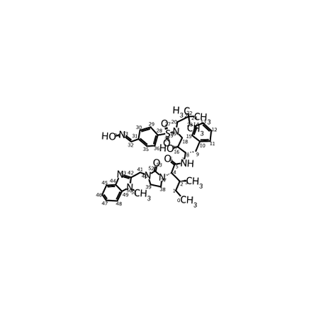 CC[C@H](C)[C@@H](C(=O)N[C@@H](Cc1ccccc1)[C@@H](O)CN(CC(C)(C)C)S(=O)(=O)c1ccc(C=NO)cc1)N1CCN(Cc2nc3ccccc3n2C)C1=O